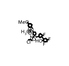 COc1ccc(CN([C@H]2CC[C@](Cc3ccc(F)c(-c4cc(F)cc(F)c4O)c3)(c3nc(CCl)co3)C2)S(C)(=O)=O)cc1